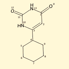 O=c1cc(C2CCCCC2)[nH]c(=O)[nH]1